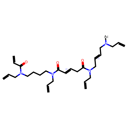 C=CCN(C/C=C/CN(CC=C)C(=O)C/C=C/C(=O)N(CC=C)CCCCN(CC=C)C(=O)C=C)C(C)=O